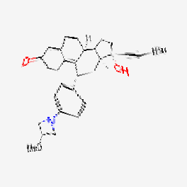 COC1CN(c2ccc([C@H]3C[C@@]4(C)C(CC[C@@]4(O)C#CC(C)(C)C)[C@@H]4CCC5=CC(=O)CCC5=C43)cc2)C1